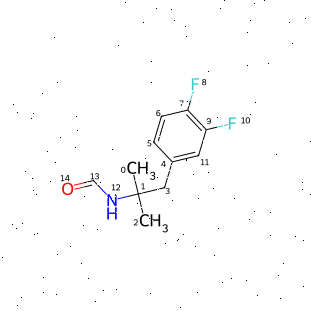 CC(C)(Cc1ccc(F)c(F)c1)NC=O